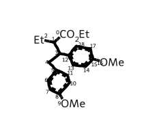 CCOC(=O)C(CC)C(Cc1ccc(OC)cc1)c1ccc(OC)cc1